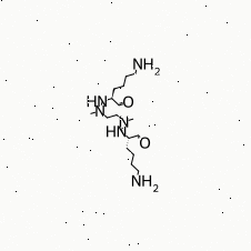 CN(CCN(C)N[C@H](C=O)CCCCN)N[C@H](C=O)CCCCN